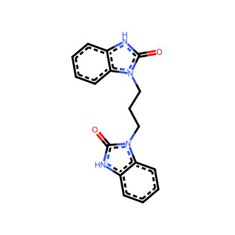 O=c1[nH]c2ccccc2n1CCCn1c(=O)[nH]c2ccccc21